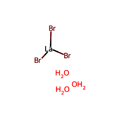 O.O.O.[Br][La]([Br])[Br]